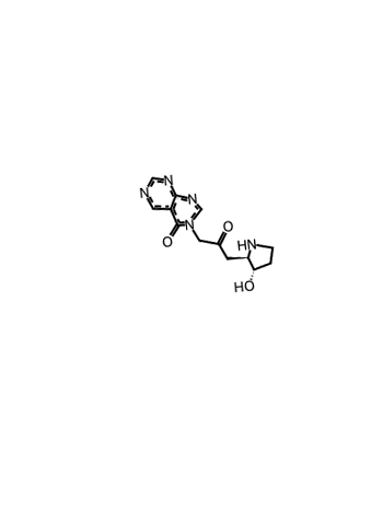 O=C(C[C@H]1NCC[C@@H]1O)Cn1cnc2ncncc2c1=O